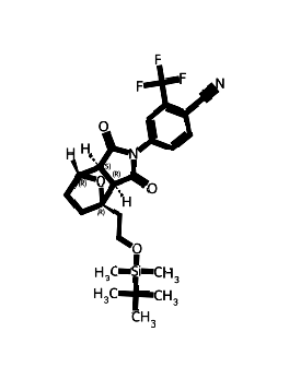 CC(C)(C)[Si](C)(C)OCC[C@@]12CC[C@@H](O1)[C@H]1C(=O)N(c3ccc(C#N)c(C(F)(F)F)c3)C(=O)[C@H]12